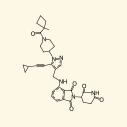 CC1(C(=O)N2CCC(n3ncc(CNc4cccc5c4C(=O)N(C4CCC(=O)NC4=O)C5=O)c3C#CC3CC3)CC2)CCC1